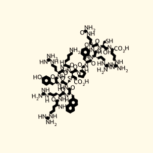 N=C(N)NCCC[C@H](NC(=O)[C@H](CS)NC(=O)[C@H](CCCNC(N)=O)NC(=O)[C@H](CCCNC(=N)N)NC(=O)[C@H](Cc1ccc(O)cc1)NC(=O)[C@@H]1CCCN1C(=O)[C@@H](CCC(=O)O)NC(=O)[C@H](CCCCN)NC(=O)[C@H](CCCNC(=N)N)NC(=O)[C@H](Cc1ccc(O)cc1)NC(=O)[C@H](CS)NC(=O)[C@H](Cc1ccc2ccccc2c1)NC(=O)[C@H](CCCNC(=N)N)NC(=O)[C@@H](N)CCCNC(=N)N)C(=O)O